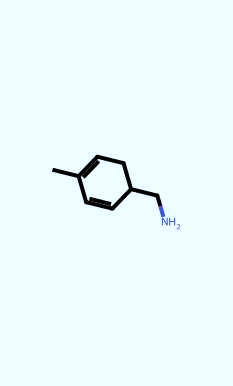 CC1=CCC(CN)C=C1